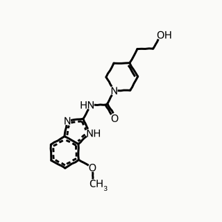 COc1cccc2nc(NC(=O)N3CC=C(CCO)CC3)[nH]c12